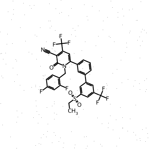 CCS(=O)(=O)c1cc(-c2cccc(-c3cc(C(F)(F)F)c(C#N)c(=O)n3Cc3ccc(F)cc3F)c2)cc(C(F)(F)F)c1